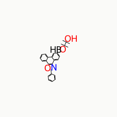 CC(C)(O)C(C)(C)OBc1ccc2c(c1)c1ccccc1c1oc(-c3ccccc3)nc21